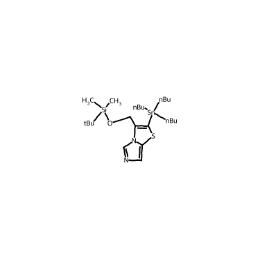 CCC[CH2][Sn]([CH2]CCC)([CH2]CCC)[c]1sc2cncn2c1CO[Si](C)(C)C(C)(C)C